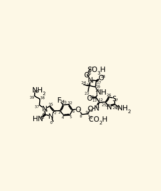 Cn1c(-c2ccc(OC[C@H](O/N=C(\C(=O)N[C@@H]3C(=O)N(OS(=O)(=O)O)C3(C)C)c3csc(N)n3)C(=O)O)cc2F)cn(CCCN)c1=N